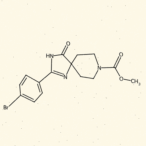 COC(=O)N1CCC2(CC1)N=C(c1ccc(Br)cc1)NC2=O